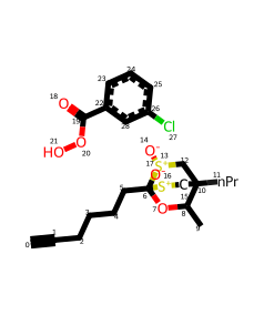 C#CCCCCC12OC(C)C(CCC)(C[S+]1[O-])C[S+]2[O-].O=C(OO)c1cccc(Cl)c1